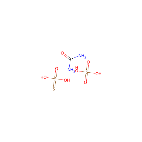 NC(N)=O.O=S(=O)(O)O.O=S(O)(O)=S